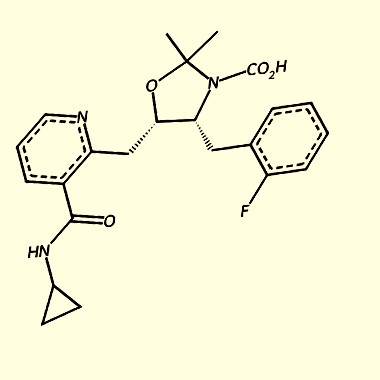 CC1(C)O[C@@H](Cc2ncccc2C(=O)NC2CC2)[C@@H](Cc2ccccc2F)N1C(=O)O